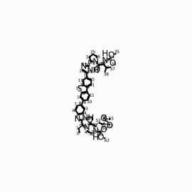 CC[C@@H](c1nc2ccc(-c3ccc4c(c3)sc3cc(-c5cnc([C@@H]6CCCN6C(=O)[C@@H](NC(=O)OC)C(C)C)[nH]5)ccc34)cc2[nH]1)N(CC)C(=O)[C@H](CCS(C)(=O)=O)NC(=O)OC